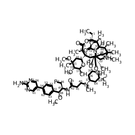 CC[C@H]1OC(=O)[C@H](C)C([C@H]2C[C@@](C)(OC)[C@@H](O)[C@H](C)O2)[C@@H]2C3CNC(C)([C@H](C)C[C@@](C)(OC)[C@@H]2O[C@H]2C[C@@H](N(C)CCC(=O)N[C@H](CF)[C@H](OC)c4ccc(-c5cnc(N)nc5)cc4)C[C@@H](C)O2)[C@H](C)[C@H]2N3C(=O)O[C@]12C